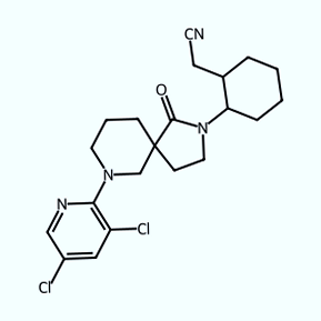 N#CCC1CCCCC1N1CCC2(CCCN(c3ncc(Cl)cc3Cl)C2)C1=O